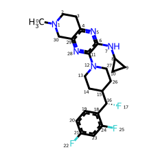 CN1CCc2nc(NC3CC3)c(N3CCC([C@H](F)c4ccc(F)cc4F)CC3)nc2C1